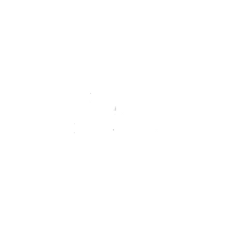 CC[SiH](CC)[SiH2]C